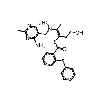 C/C(=C(\CCO)SC(=O)c1ccccc1Sc1ccccc1)N(C=O)Cc1cnc(C)nc1N